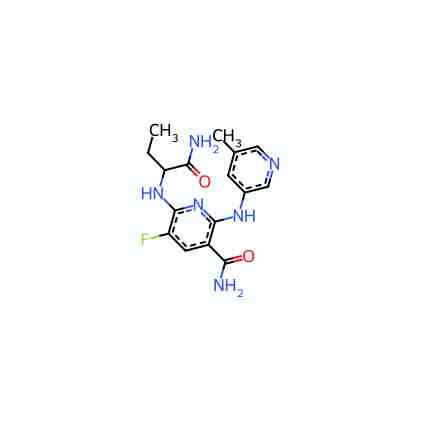 CCC(Nc1nc(Nc2cncc(C)c2)c(C(N)=O)cc1F)C(N)=O